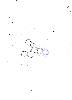 c1ccc2c(c1)ccc1c3nc4nccnc4nc3n3cc4ccccc4c3c21